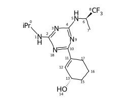 CC(C)Nc1nc(N[C@H](C)C(F)(F)F)nc(C2=C[C@@H](O)CCC2)n1